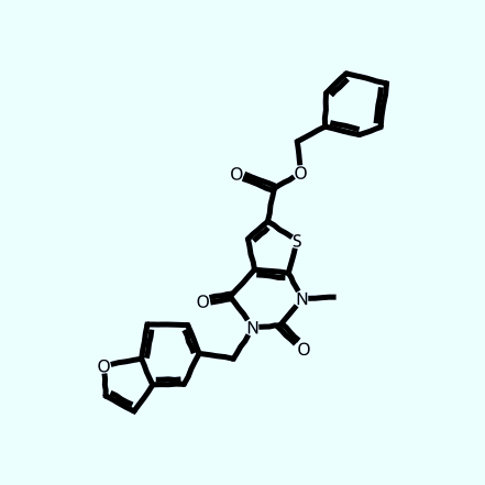 Cn1c(=O)n(Cc2ccc3occc3c2)c(=O)c2cc(C(=O)OCc3ccccc3)sc21